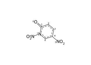 O=c1ccc([N+](=O)[O-])cn1[N+](=O)[O-]